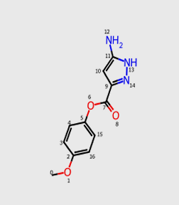 COc1ccc(OC(=O)c2cc(N)[nH]n2)cc1